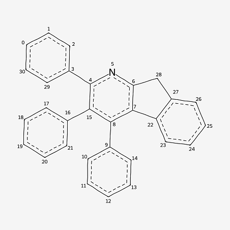 c1ccc(-c2nc3c(c(-c4ccccc4)c2-c2ccccc2)-c2ccccc2C3)cc1